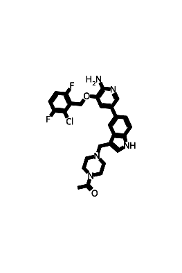 CC(=O)N1CCN(Cc2c[nH]c3ccc(-c4cnc(N)c(OCc5c(F)ccc(F)c5Cl)c4)cc23)CC1